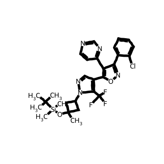 CC1(O[Si](C)(C)C(C)(C)C)CC(n2ncc(-c3onc(-c4ccccc4Cl)c3-c3ccncn3)c2C(F)(F)F)C1